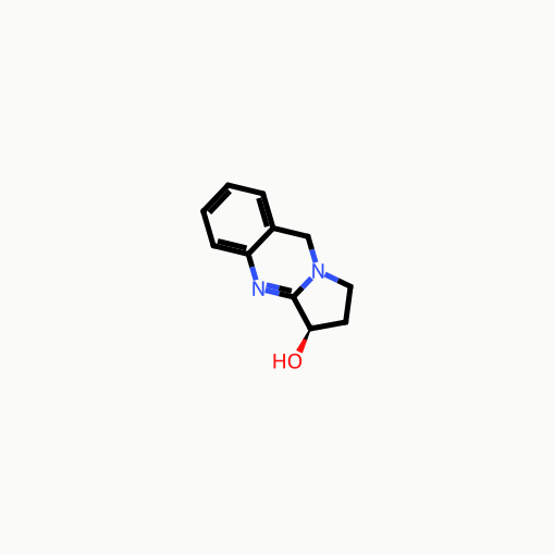 O[C@@H]1CCN2Cc3ccccc3N=C12